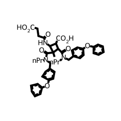 CCCN(Cc1ccc(Oc2ccccc2)cc1)C(=O)C1C(C(=O)O)C(NC(=O)CCC(=O)O)C1(C)C(=O)N(CCC)Cc1ccc(Oc2ccccc2)cc1